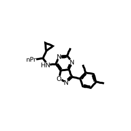 CCCC(Nc1nc(C)nc2c(-c3ccc(C)cc3C)noc12)C1CC1